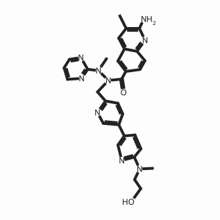 Cc1cc2cc(C(=O)N(Cc3ccc(-c4ccc(N(C)CCO)nc4)cn3)N(C)c3ncccn3)ccc2nc1N